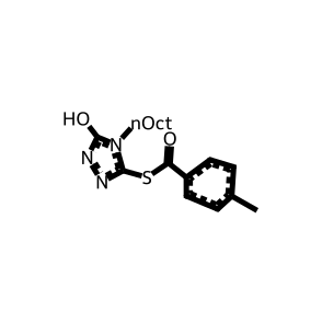 CCCCCCCCn1c(O)nnc1SC(=O)c1ccc(C)cc1